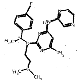 C[C@@H](c1ccc(F)cc1)N(CCN(C)C)c1nc(N)cc(Nc2cnccn2)n1